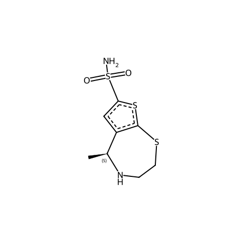 C[C@@H]1NCCSc2sc(S(N)(=O)=O)cc21